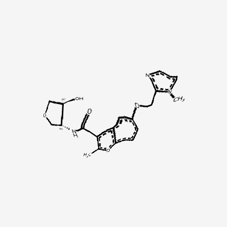 Cc1oc2ccc(OCc3nccn3C)cc2c1C(=O)N[C@@H]1COC[C@H]1O